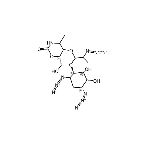 CC(N=[N+]=[N-])C(OC1C(C)NC(=O)O[C@H]1CO)O[C@@H]1C(N=[N+]=[N-])C[C@@H](N=[N+]=[N-])C(O)[C@H]1O